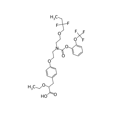 CCOC(Cc1ccc(OCCN(CCOCC(F)(F)CC)C(=O)Oc2ccccc2OC(F)(F)F)cc1)C(=O)O